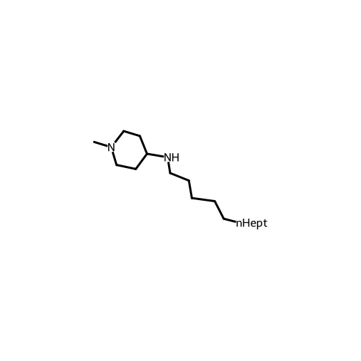 CCCCCCCCCCCCNC1CCN(C)CC1